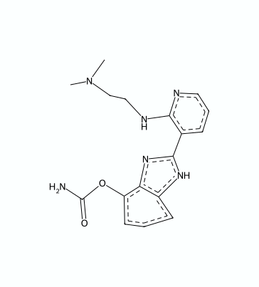 CN(C)CCNc1ncccc1-c1nc2c(OC(N)=O)cccc2[nH]1